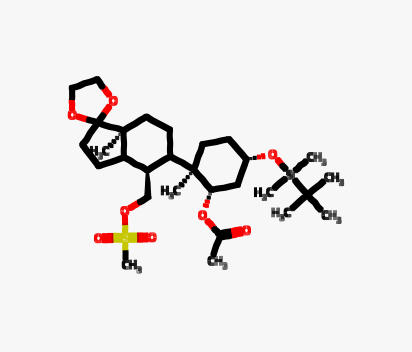 CC(=O)O[C@H]1C[C@@H](O[Si](C)(C)C(C)(C)C)CC[C@]1(C)C1CC[C@@]2(C)C(CCC23OCCO3)[C@@H]1COS(C)(=O)=O